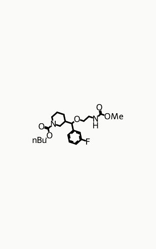 CCCCOC(=O)N1CCCC(C(OCCNC(=O)OC)c2cccc(F)c2)C1